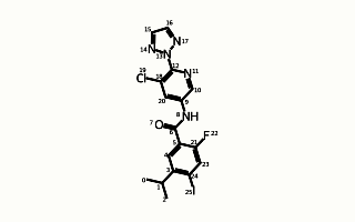 CC(C)c1cc(C(=O)Nc2cnc(-n3nccn3)c(Cl)c2)c(F)cc1I